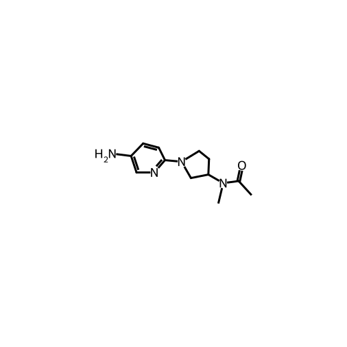 CC(=O)N(C)C1CCN(c2ccc(N)cn2)C1